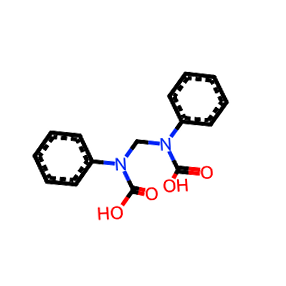 O=C(O)N(CN(C(=O)O)c1ccccc1)c1ccccc1